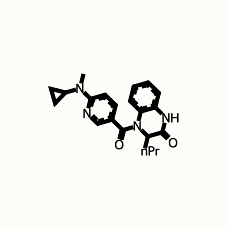 CCCC1C(=O)Nc2ccccc2N1C(=O)c1ccc(N(C)C2CC2)nc1